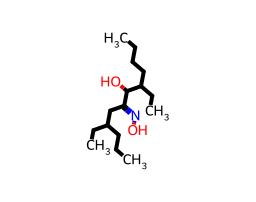 CCCCC(CC)C(O)C(CC(CC)CCC)=NO